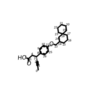 CC#C[C@@H](CC(=O)O)c1ccc(OCC2CCCC3(CCCCC3)C2)cc1